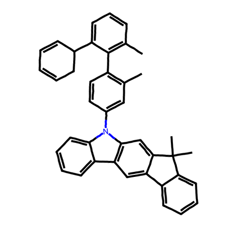 Cc1cc(-n2c3ccccc3c3cc4c(cc32)C(C)(C)c2ccccc2-4)ccc1-c1c(C)cccc1C1C=CC=CC1